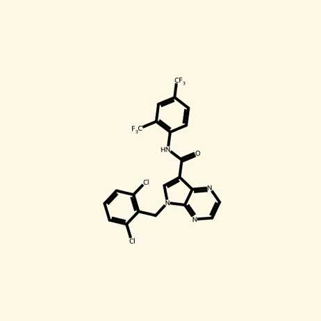 O=C(Nc1ccc(C(F)(F)F)cc1C(F)(F)F)c1cn(Cc2c(Cl)cccc2Cl)c2nccnc12